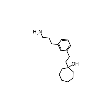 NCCCc1cccc(CCC2(O)CCCCCC2)c1